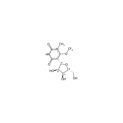 Cn1c(OC(F)(F)F)c([C@@H]2O[C@H](CO)[C@@H](O)[C@H]2O)c(=O)[nH]c1=O